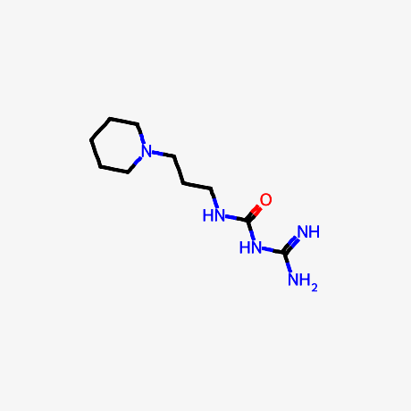 N=C(N)NC(=O)NCCCN1CCCCC1